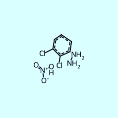 Clc1ccccc1Cl.NN.O=[N+]([O-])O